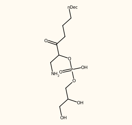 CCCCCCCCCCCCCC(=O)C(CN)OP(=O)(O)OCC(O)CO